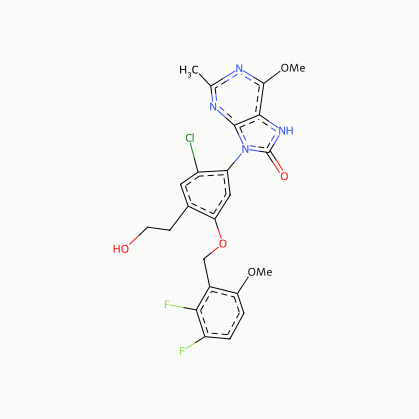 COc1ccc(F)c(F)c1COc1cc(-n2c(=O)[nH]c3c(OC)nc(C)nc32)c(Cl)cc1CCO